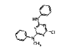 CN(c1ccccc1)c1nc(Cl)nc(Nc2ccccc2)n1